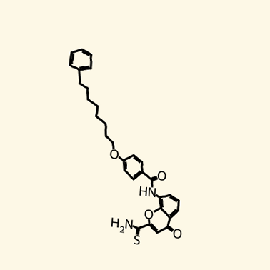 NC(=S)c1cc(=O)c2cccc(NC(=O)c3ccc(OCCCCCCCCc4ccccc4)cc3)c2o1